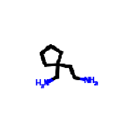 NCCC1(CN)CCCC1